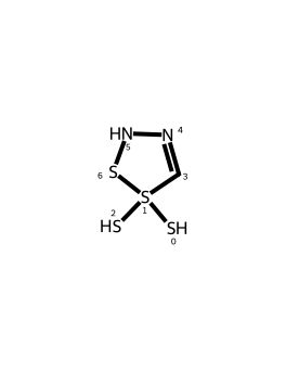 SS1(S)C=NNS1